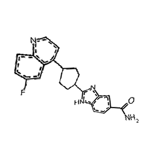 NC(=O)c1ccc2[nH]c(C3CCC(c4ccnc5ccc(F)cc45)CC3)nc2c1